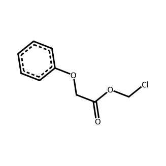 O=C(COc1ccccc1)OCCl